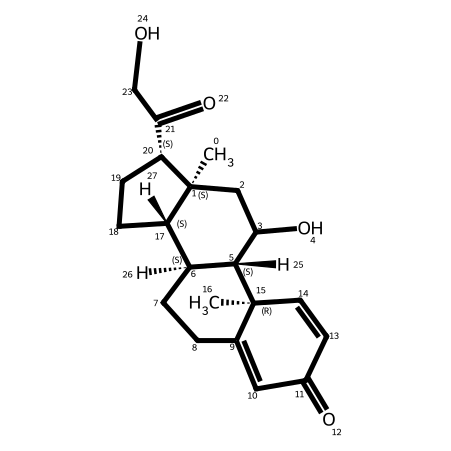 C[C@]12CC(O)[C@H]3[C@@H](CCC4=CC(=O)C=C[C@@]43C)[C@@H]1CC[C@@H]2C(=O)CO